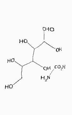 NC(=O)O.O=CC(O)C(O)C(O)C(O)CO